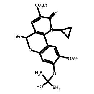 BC(B)(O)Oc1cc2c(cc1OC)-c1c(cc(C(=O)OCC)c(=O)n1C1CC1)C(C(C)C)O2